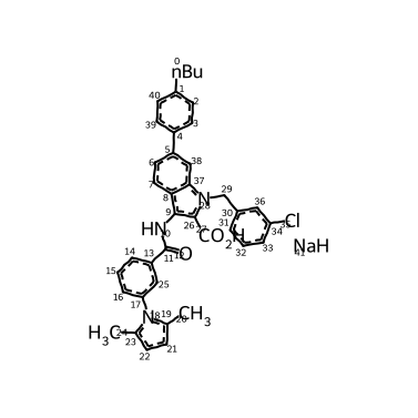 CCCCc1ccc(-c2ccc3c(NC(=O)c4cccc(-n5c(C)ccc5C)c4)c(C(=O)O)n(Cc4cccc(Cl)c4)c3c2)cc1.[NaH]